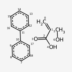 C=CC(=O)O.CO.c1ccc(-c2ccccc2)cc1